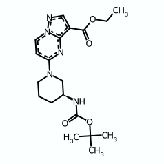 CCOC(=O)c1cnn2ccc(N3CCC[C@H](NC(=O)OC(C)(C)C)C3)nc12